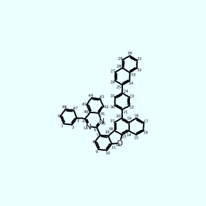 c1ccc(-c2nc(-c3cccc4oc5c6ccccc6c(-c6ccc(-c7ccc8ccccc8c7)cc6)cc5c34)nc3ccccc23)cc1